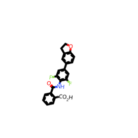 O=C(O)c1ccccc1C(=O)Nc1c(F)cc(-c2ccc3c(c2)CCO3)cc1F